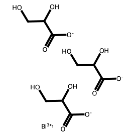 O=C([O-])C(O)CO.O=C([O-])C(O)CO.O=C([O-])C(O)CO.[Bi+3]